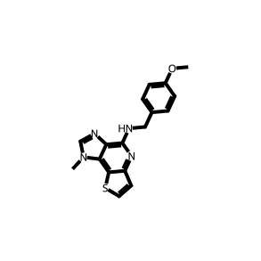 COc1ccc(CNc2nc3ccsc3c3c2ncn3C)cc1